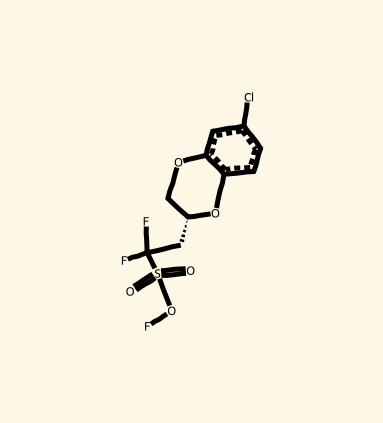 O=S(=O)(OF)C(F)(F)C[C@@H]1COc2cc(Cl)ccc2O1